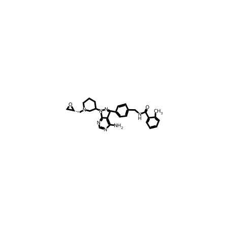 Cc1ccccc1C(=O)NCc1ccc(-c2nn(C3CCCN(C[C@@H]4CO4)C3)c3ncnc(N)c23)cc1